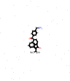 N#CC(C#N)=c1c(=O)c2ccc(C(=O)c3ccc(CN)cc3)c3cccc1c32